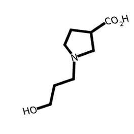 O=C(O)C1CCN(CCCO)C1